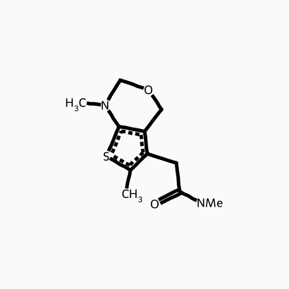 CNC(=O)Cc1c(C)sc2c1COCN2C